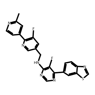 Cc1cc(-c2ncc(CNc3ncnc(-c4ccc5ncsc5c4)c3F)cc2F)ccn1